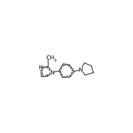 Cc1nccn1-c1ccc(N2CCCC2)cc1